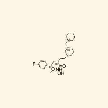 CO[C@H](C[C@H](CCN1CCC[C@@H](CN2CCCCC2)C1)C(=O)NO)c1ccc(F)cc1